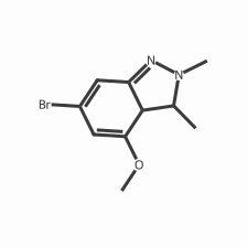 COC1=CC(Br)=CC2=NN(C)C(C)C12